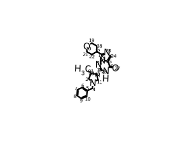 C[C@@H]1CN(Cc2ccccc2)C[C@H]1c1nn2c(C3CCOCC3)ncc2c(=O)[nH]1